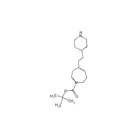 CC(C)(C)OC(=O)N1CCC=C(CCC2CCNCC2)CC1